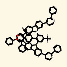 N#Cc1cccc(-c2c(-n3c4cc(-c5ccnc(-c6ccccc6)c5)ccc4c4ccc(-c5ccnc(-c6ccccc6)c5)cc43)cc(C(F)(F)F)cc2-n2c3cc(-c4ccnc(-c5ccccc5)c4)ccc3c3ccc(-c4ccnc(-c5ccccc5)c4)cc32)c1